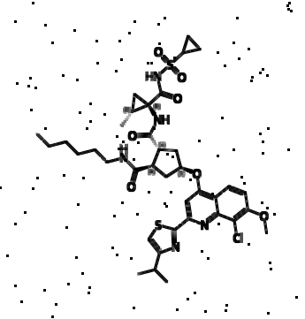 CCCCCCNC(=O)[C@@H]1C[C@H](Oc2cc(-c3nc(C(C)C)cs3)nc3c(Cl)c(OC)ccc23)C[C@H]1C(=O)N[C@]1(C(=O)NS(=O)(=O)C2CC2)C[C@H]1C